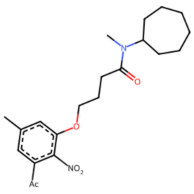 CC(=O)c1cc(C)cc(OCCCC(=O)N(C)C2CCCCCC2)c1[N+](=O)[O-]